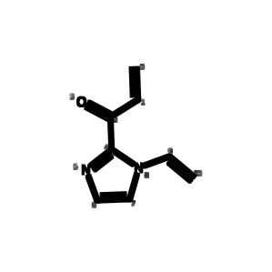 C=CC(=O)c1nccn1C=C